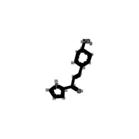 O=C(C=Cc1ccc([N+](=O)[O-])cc1)c1cccs1